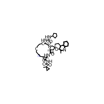 Cc1nc2ccccc2c2c1O[C@]1(CC2)C[C@H]2C(=O)N[C@@](C)(C(=O)NS(=O)(=O)C3(C)CC3)[C@@H](C)/C=C\CCCCC[C@H](NC(=O)NC3CCCC3)C(=O)N2C1